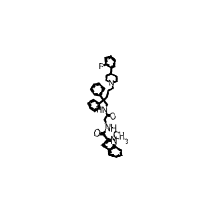 Cn1c(C(=O)NCC(=O)NCC(CCCN2CCC(c3ccccc3F)CC2)(c2ccccc2)c2ccccc2)cc2ccccc21